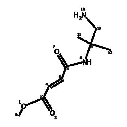 COC(=O)C=CC(=O)NC(C)(C)CN